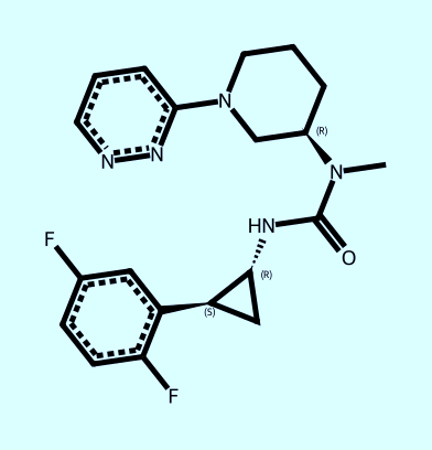 CN(C(=O)N[C@@H]1C[C@H]1c1cc(F)ccc1F)[C@@H]1CCCN(c2cccnn2)C1